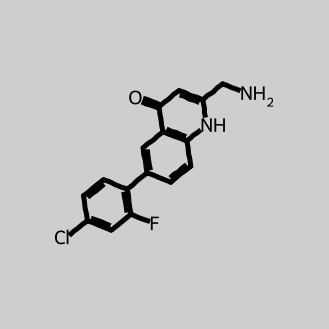 NCc1cc(=O)c2cc(-c3ccc(Cl)cc3F)ccc2[nH]1